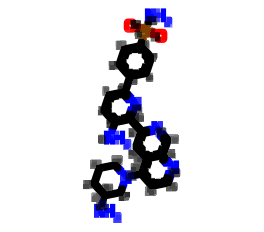 Nc1ccc(-c2ccc(S(N)(=O)=O)cc2)nc1-c1cc2c(N3CCC[C@H](N)C3)ccnc2cn1